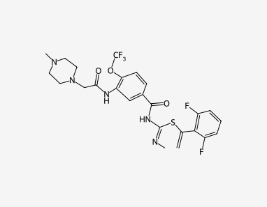 C=C(S/C(=N\C)NC(=O)c1ccc(OC(F)(F)F)c(NC(=O)CN2CCN(C)CC2)c1)c1c(F)cccc1F